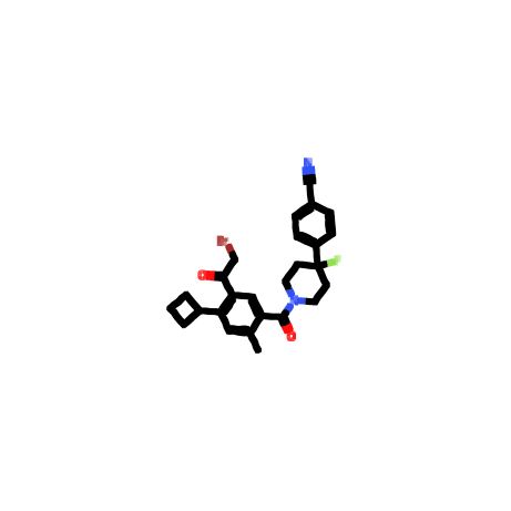 Cc1cc(C2CCC2)c(C(=O)CBr)cc1C(=O)N1CCC(F)(c2ccc(C#N)cc2)CC1